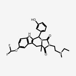 CCN(C)CCN1C(=O)N2C(c3cccc(O)c3)c3[nH]c4ccc(OC(F)F)cc4c3CC2(C)C1=O